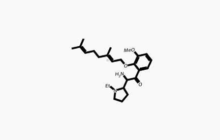 CCN1CCCC1C(N)C(=O)c1cccc(OC)c1OC/C=C(\C)CCC=C(C)C